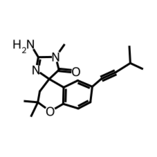 CC(C)C#Cc1ccc2c(c1)C1(CC(C)(C)O2)N=C(N)N(C)C1=O